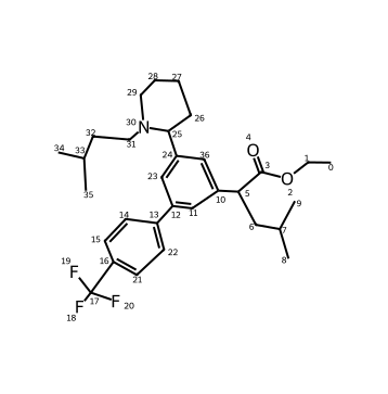 CCOC(=O)C(CC(C)C)c1cc(-c2ccc(C(F)(F)F)cc2)cc(C2CCCCN2CCC(C)C)c1